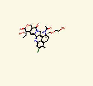 CC[C@@]1(O)C(=O)OCc2c1cc1n(c2=O)Cc2c-1nc1cc(F)c(C)c3c1c2[C@](COCCO)(NC(C)=O)CC3